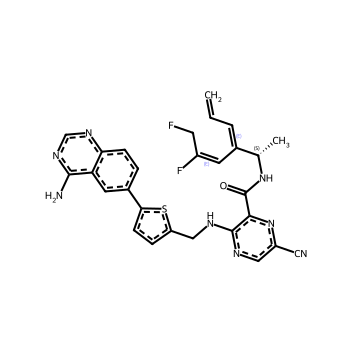 C=C/C=C(\C=C(\F)CF)[C@H](C)NC(=O)c1nc(C#N)cnc1NCc1ccc(-c2ccc3ncnc(N)c3c2)s1